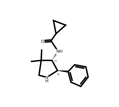 CC1(C)CN[C@H](c2ccccc2)[C@H]1NC(=O)C1CC1